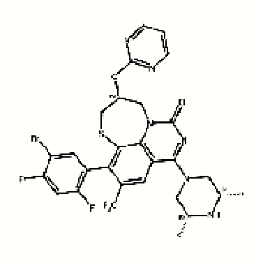 C[C@@H]1CN(c2nc(=O)n3c4c(c(-c5cc(Br)c(F)cc5F)c(C(F)(F)F)cc24)SC[C@@H](Oc2ncccn2)C3)C[C@H](C)N1